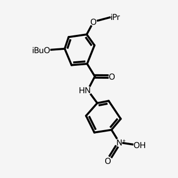 CC(C)COc1cc(OC(C)C)cc(C(=O)Nc2ccc([N+](=O)O)cc2)c1